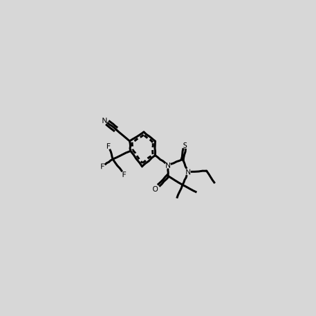 CCN1C(=S)N(c2ccc(C#N)c(C(F)(F)F)c2)C(=O)C1(C)C